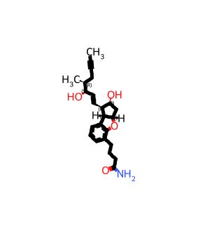 CC#CC[C@@H](C)[C@H](O)C=C[C@@H]1[C@H]2c3cccc(CCCC(N)=O)c3O[C@H]2C[C@H]1O